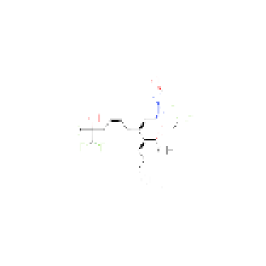 CCC/C=C(/C(=C\C=N/NC=O)C/C=C\CC(O)(C(F)F)C(F)F)C(C)OCC(F)F